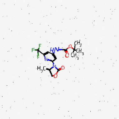 CC1COC(=O)N1c1cc(NC(=O)OC(C)(C)C)cc(C(F)(F)F)n1